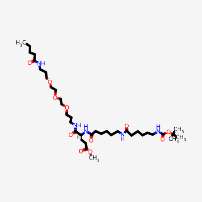 CCCCC(=O)NCCCOCCOCCOCCCNC(=O)[C@H](CCC(=O)OC)NC(=O)CCCCCNC(=O)CCCCCNC(=O)OC(C)(C)C